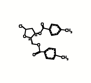 Cc1ccc(C(=O)OC[C@H]2OC(Cl)C[C@H]2OC(=O)c2ccc(C)cc2)cc1